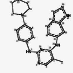 Cc1cnc(Nc2ccc(N3CCNCC3)cc2)nc1Nc1ccc2cn[nH]c2c1